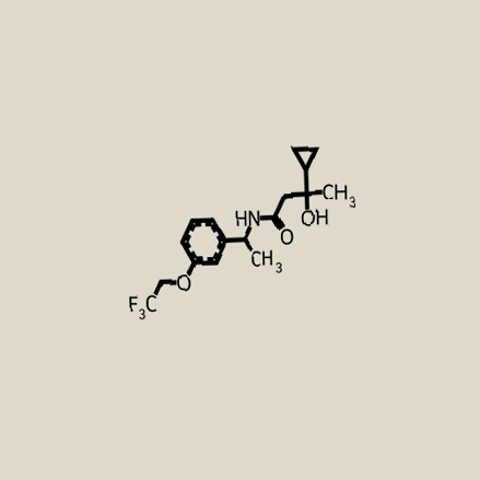 CC(NC(=O)CC(C)(O)C1CC1)c1cccc(OCC(F)(F)F)c1